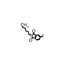 CCCCCCN1C(=O)c2ccc(F)cc2C1=O